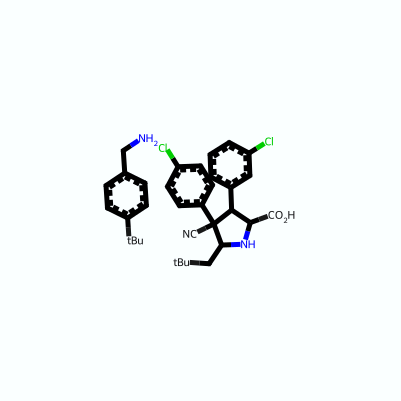 CC(C)(C)CC1NC(C(=O)O)C(c2cccc(Cl)c2)C1(C#N)c1ccc(Cl)cc1.CC(C)(C)c1ccc(CN)cc1